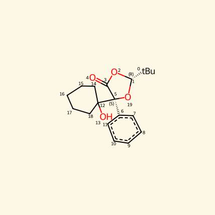 CC(C)(C)[C@H]1OC(=O)[C@](c2ccccc2)(C2(O)CCCCC2)O1